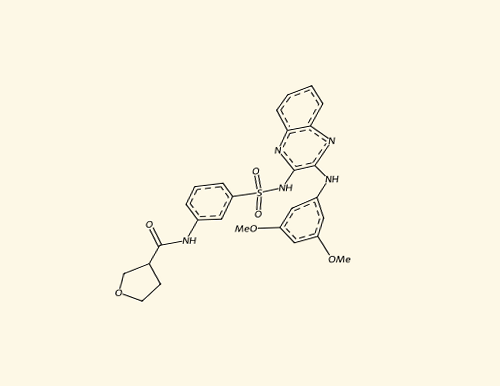 COc1cc(Nc2nc3ccccc3nc2NS(=O)(=O)c2cccc(NC(=O)C3CCOC3)c2)cc(OC)c1